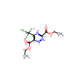 CCOC(=O)c1nnc(C(=O)OCC)c(C(F)(F)F)n1